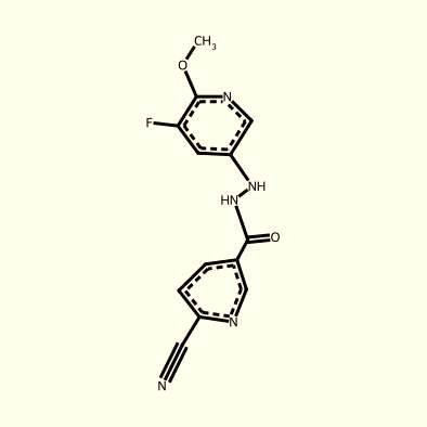 COc1ncc(NNC(=O)c2ccc(C#N)nc2)cc1F